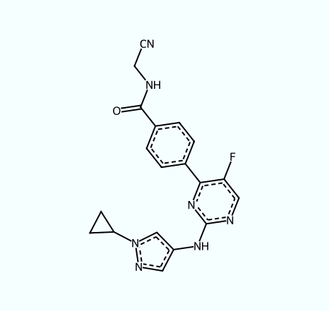 N#CCNC(=O)c1ccc(-c2nc(Nc3cnn(C4CC4)c3)ncc2F)cc1